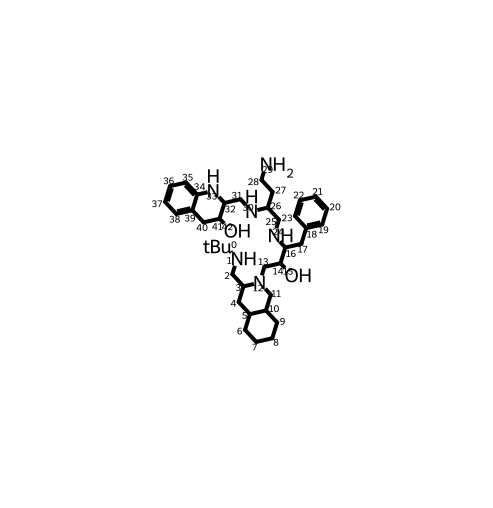 CC(C)(C)NCC1CC2CCCCC2CN1CC(O)C(Cc1ccccc1)NCC(CCN)NCC1Nc2ccccc2CC1O